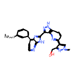 COc1cccc(-c2ccnc3[nH]c(-c4n[nH]c5ccc(-c6cn(C)nc6CO)nc45)nc23)c1